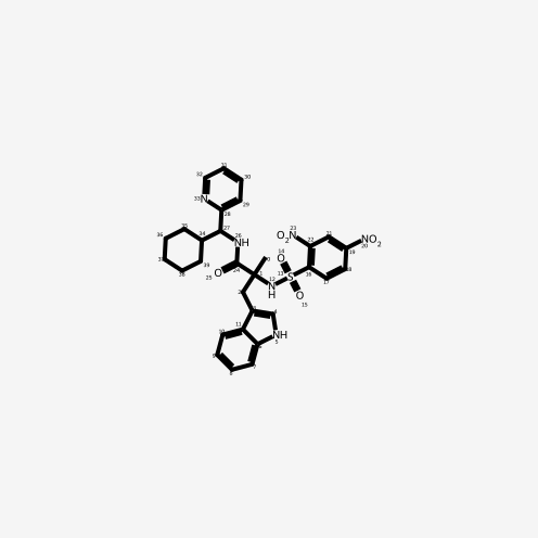 CC(Cc1c[nH]c2ccccc12)(NS(=O)(=O)c1ccc([N+](=O)[O-])cc1[N+](=O)[O-])C(=O)NC(c1ccccn1)C1CCCCC1